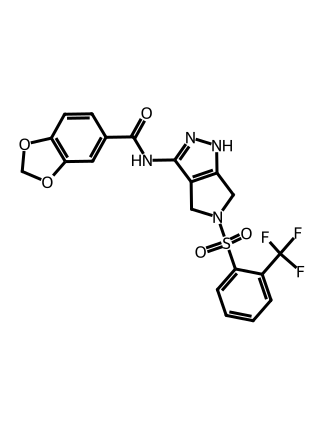 O=C(Nc1n[nH]c2c1CN(S(=O)(=O)c1ccccc1C(F)(F)F)C2)c1ccc2c(c1)OCO2